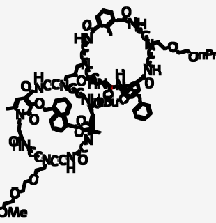 CCCOCCOCCN1CCNC(=O)c2cccc(c2C)C(=O)NCCN(CC(CN2CCNC(=O)c3cc(C)n(c(=O)c3OCc3ccccc3)CC(=O)NCCN(CCOCCOCCOC)CCNC(=O)Cn3c(C)cc(c(OCc4ccccc4)c3=O)C(=O)NCC2)OCCCCNC(=O)OC(C)(C)C)CCNC(=O)c2cccc(c2OCc2ccccc2)C(=O)NCC1